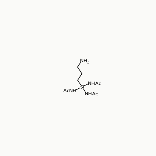 CC(=O)N[Si](CCCN)(NC(C)=O)NC(C)=O